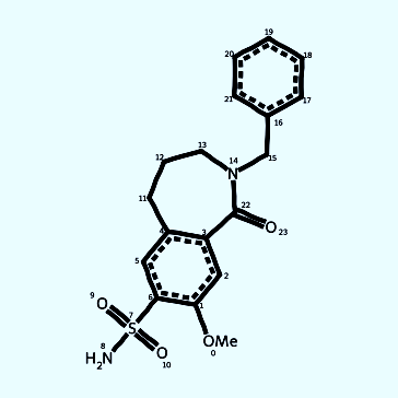 COc1cc2c(cc1S(N)(=O)=O)CCCN(Cc1ccccc1)C2=O